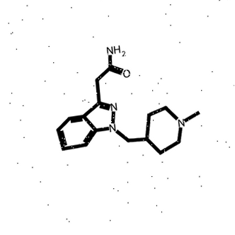 CN1CCC(Cn2nc(CC(N)=O)c3ccccc32)CC1